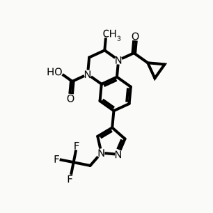 CC1CN(C(=O)O)c2cc(-c3cnn(CC(F)(F)F)c3)ccc2N1C(=O)C1CC1